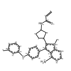 C=CC(=O)NC1CCC(c2c(-c3ccc(Oc4cccc(C)n4)cc3)c3c(N)ncnc3n2C)C1